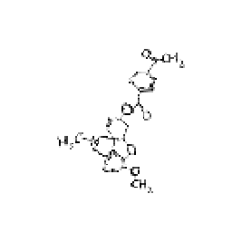 COc1ccc2c3c1OC1C[C@@H](OC(=O)c4ccc(C(C)=O)cc4)C=C[C@@]31CCN(C)C2